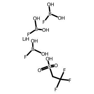 O=S(=O)(O)CC(F)(F)F.OB(O)F.OB(O)F.OB(O)F.[LiH]